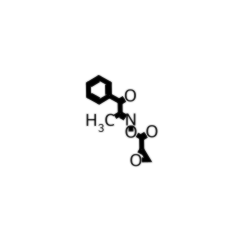 C/C(=N\OC(=O)C1CO1)C(=O)c1ccccc1